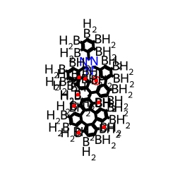 Bc1c(B)c(B)c(-c2nc(-c3c(B)c(B)c(B)c(B)c3B)nc(-c3c(B)c(B)c(B)c4c3oc3c(C(c5c(B)c(B)c(B)c(B)c5B)c5c(B)c(B)c6c(c5B)-c5c(B)c(B)c(B)c(B)c5-c5c(B)c(B)c(B)c(B)c5-c5c(B)c(B)c(B)c(B)c5-6)c(B)c(B)c(B)c34)n2)c(B)c1B